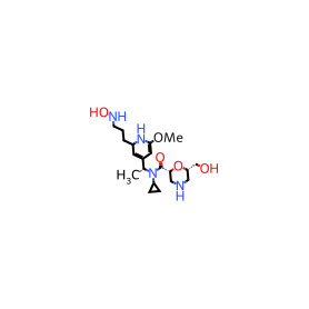 COC1=CC([C@@H](C)N(C(=O)[C@H]2CNC[C@@H](CO)O2)C2CC2)=CC(CCCNO)N1